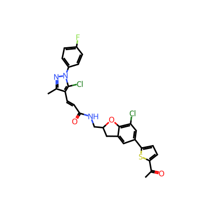 CC(=O)c1ccc(-c2cc(Cl)c3c(c2)CC(CNC(=O)C=Cc2c(C)nn(-c4ccc(F)cc4)c2Cl)O3)s1